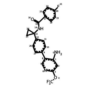 Nc1cc(OC(F)(F)F)ncc1-c1ccc(C2(NC(=O)c3ccc(F)cc3)CC2)cc1